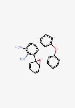 Nc1cccc(C23C=CC=CC2O3)c1N.c1ccc(Oc2ccccc2)cc1